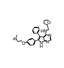 CN(C)CCOc1ccc(-c2[nH]c3ncnc(NCC4CCCO4)c3c2-c2ccccc2)cc1